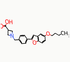 CCCCOc1ccc2oc(-c3ccc(CN4CC(C(=O)O)C4)cc3)cc2c1